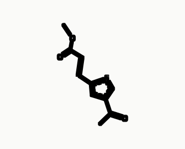 COC(=O)/C=C/c1cc(C(C)=O)cs1